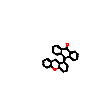 O=C1c2ccccc2C(=c2cccc3c2=Cc2ccccc2O3)c2ccccc21